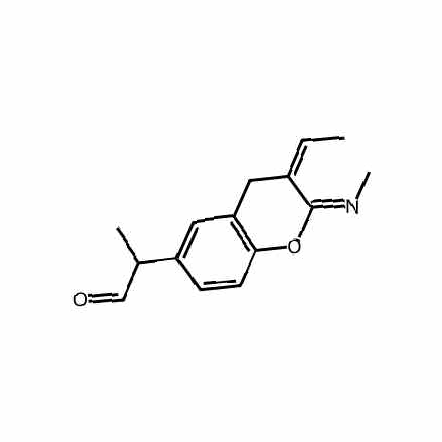 C/C=C1/Cc2cc(C(C)C=O)ccc2O/C1=N/C